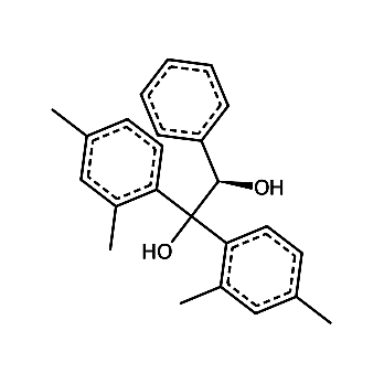 Cc1ccc(C(O)(c2ccc(C)cc2C)[C@H](O)c2ccccc2)c(C)c1